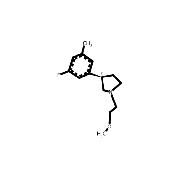 COCCN1CC[C@H](c2cc(C)cc(F)c2)C1